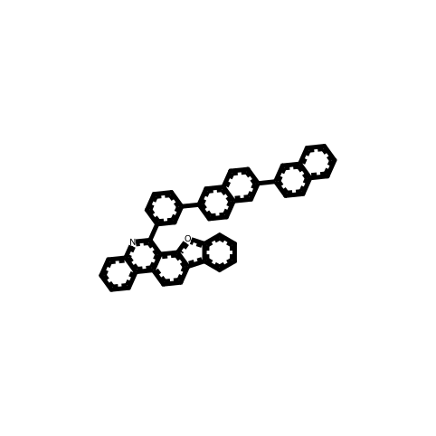 c1cc(-c2ccc3cc(-c4ccc5ccccc5c4)ccc3c2)cc(-c2nc3ccccc3c3ccc4c5ccccc5oc4c23)c1